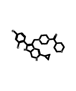 O=C(C1CCOCC1)N1CCN(CC2=C(c3ccc(Cl)cc3Cl)NC3CNC(C4CC4)=CN23)CC1